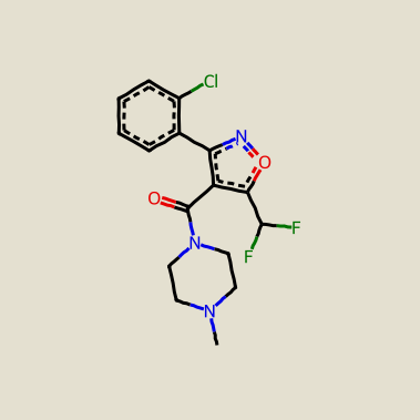 CN1CCN(C(=O)c2c(-c3ccccc3Cl)noc2C(F)F)CC1